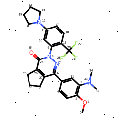 COc1ccc(-c2nn(-c3cc(N4CCCC4)ccc3C(F)(F)F)c(=O)c3c2CCC3)cc1N(C)C